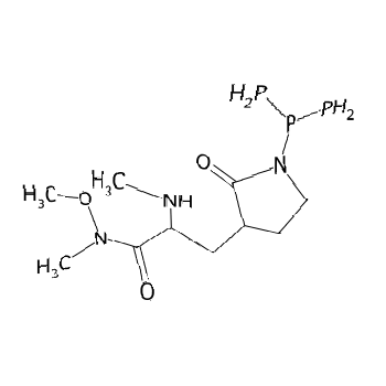 CNC(CC1CCN(P(P)P)C1=O)C(=O)N(C)OC